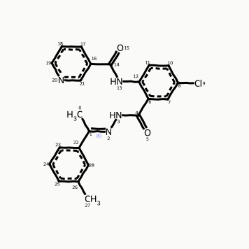 C/C(=N\NC(=O)c1cc(Cl)ccc1NC(=O)c1cccnc1)c1cccc(C)c1